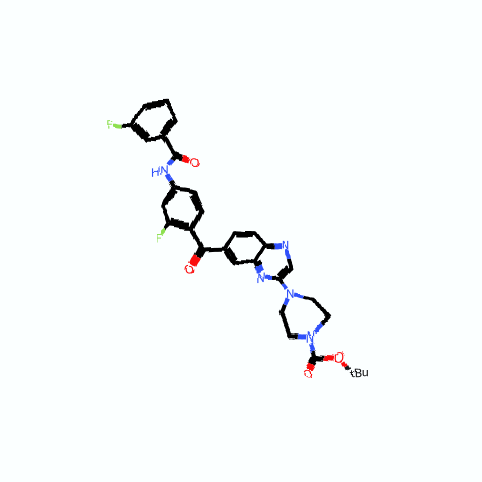 CC(C)(C)OC(=O)N1CCN(c2cnc3ccc(C(=O)c4ccc(NC(=O)c5cccc(F)c5)cc4F)cc3n2)CC1